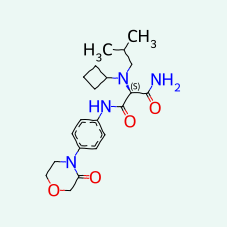 CC(C)CN(C1CCC1)[C@@H](C(N)=O)C(=O)Nc1ccc(N2CCOCC2=O)cc1